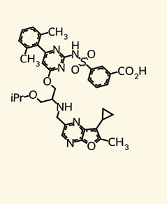 Cc1cccc(C)c1-c1cc(OCC(COC(C)C)NCc2cnc3oc(C)c(C4CC4)c3n2)nc(NS(=O)(=O)c2cccc(C(=O)O)c2)n1